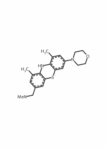 CNCc1cc(C)c2c(c1)Sc1cc(N3CCOCC3)cc(C)c1N2